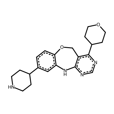 c1nc2c(c(C3CCOCC3)n1)COc1ccc(C3CCNCC3)cc1N2